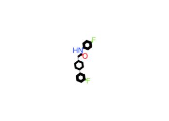 O=C(C[C@H]1CC[C@@H](c2cccc(F)c2)CC1)Nc1ccc(F)cc1